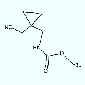 CC(C)(C)OC(=O)NCC1(CC#N)CC1